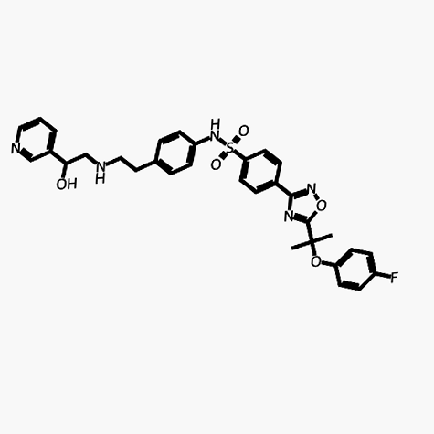 CC(C)(Oc1ccc(F)cc1)c1nc(-c2ccc(S(=O)(=O)Nc3ccc(CCNCC(O)c4cccnc4)cc3)cc2)no1